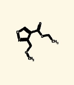 CCOC(=O)c1conc1COC